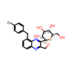 CCc1ccc(Cc2cccc3nc4c(nc23)[C@]2(OC4)S[C@H](CO)[C@@H](O)[C@H](O)[C@H]2O)cc1